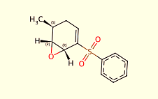 C[C@H]1CC=C(S(=O)(=O)c2ccccc2)[C@@H]2O[C@H]12